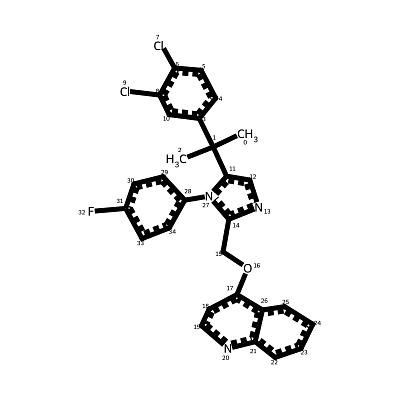 CC(C)(c1ccc(Cl)c(Cl)c1)c1cnc(COc2ccnc3ccccc23)n1-c1ccc(F)cc1